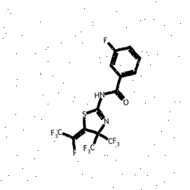 O=C(NC1=NC(C(F)(F)F)(C(F)(F)F)C(=C(F)C(F)(F)F)S1)c1cccc(F)c1